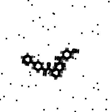 O=C(NC1CCN(c2cccnn2)CC1)c1cccc2cnc(NC3CCC(O)CC3)nc12